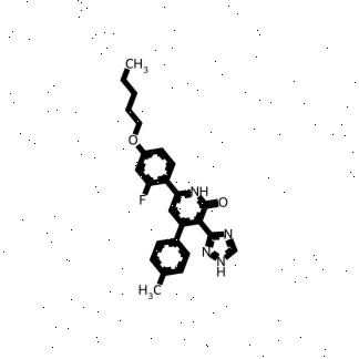 CCCCCOc1ccc(-c2cc(-c3ccc(C)cc3)c(-c3nc[nH]n3)c(=O)[nH]2)c(F)c1